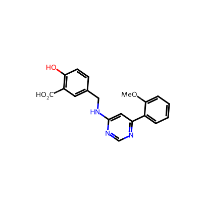 COc1ccccc1-c1cc(NCc2ccc(O)c(C(=O)O)c2)ncn1